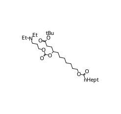 CCCCCCCC(=O)OCCCCCCCC(CCC(=O)OC(C)(C)C)OC(=O)OCCCN(CC)CC